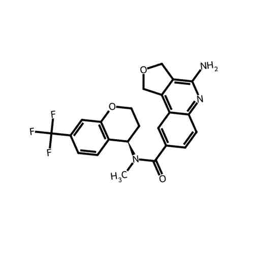 CN(C(=O)c1ccc2nc(N)c3c(c2c1)COC3)[C@@H]1CCOc2cc(C(F)(F)F)ccc21